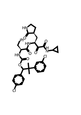 CC(C)C[C@H](NC(=O)OC(c1ccc(Cl)cc1)C(C)(C)c1cccc(Cl)c1)C(=O)N[C@@H](C[C@@H]1CCNC1=O)C(=O)C(=O)NC1CC1